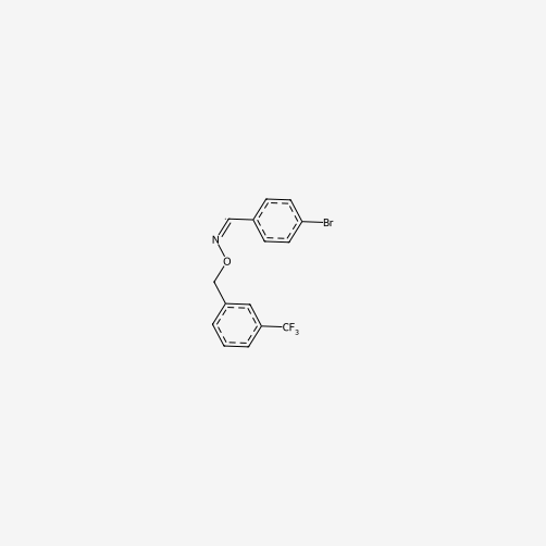 FC(F)(F)c1cccc(CO/N=[C]\c2ccc(Br)cc2)c1